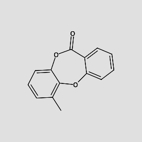 Cc1cccc2c1Oc1ccccc1C(=O)O2